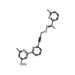 COc1cc(C)nc(-c2cccc(C#CCO/N=C(\C)c3cccc(C)n3)n2)c1